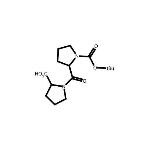 CC(C)(C)OC(=O)N1CCCC1C(=O)N1CCCC1C(=O)O